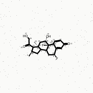 C[C@@H]1CC2C3C[C@H](F)C4=CC(=O)C=C[C@]4(C)[C@@]3(F)[C@@H](O)C[C@]2(C)C1C(=O)CO